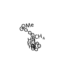 C.COC(=O)c1ccc(-c2ccc(OCCNCC(O)c3ccc4cc3NS(=O)(=O)c3cccc(c3)CO4)cc2)cc1